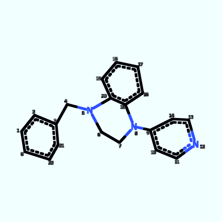 c1ccc(CN2CCN(c3ccncc3)c3ccccc32)cc1